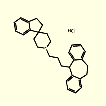 Cl.c1ccc2c(c1)CCc1ccccc1C2CCCN1CCC2(CCc3ccccc32)CC1